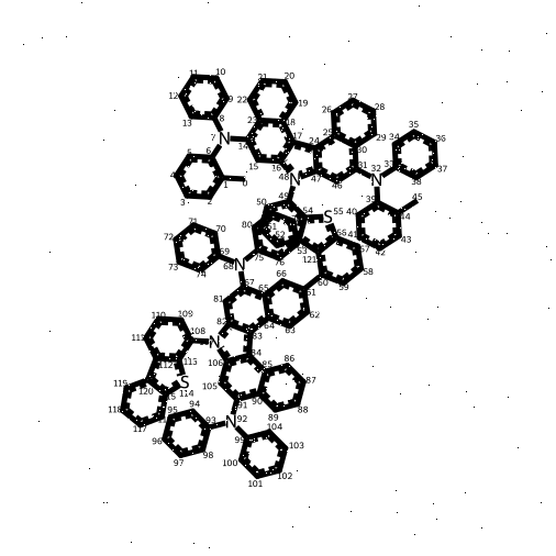 Cc1ccccc1N(c1ccccc1)c1cc2c(c3ccccc13)c1c3ccccc3c(N(c3ccccc3)c3ccccc3C)cc1n2-c1cccc2c1sc1cccc(-c3ccc4c(c3)c(N(c3ccccc3)c3ccccc3)cc3c4c4c5ccccc5c(N(c5ccccc5)c5ccccc5)cc4n3-c3cccc4c3sc3ccccc34)c12